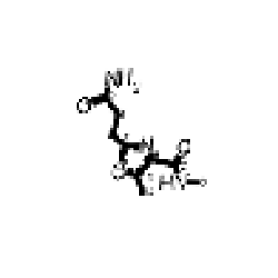 CNC(=O)c1nc(CCC(N)=O)oc1C